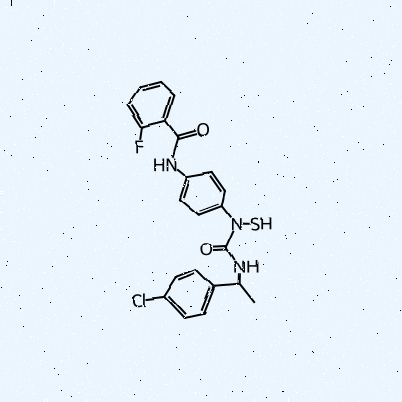 CC(NC(=O)N(S)c1ccc(NC(=O)c2ccccc2F)cc1)c1ccc(Cl)cc1